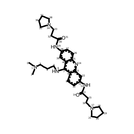 CN(C)CCCNc1c2ccc(NC(=O)CCN3CCCC3)cc2nc2ccc(NC(=O)CCN3CCCC3)cc12